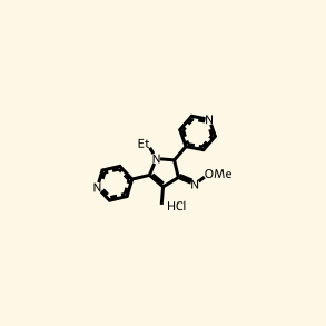 CCN1C(c2ccncc2)=C(C)C(=NOC)C1c1ccncc1.Cl